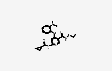 CCONC(=O)c1cnc(NC(=O)C2CC2)cc1Nc1ccccc1P(C)C